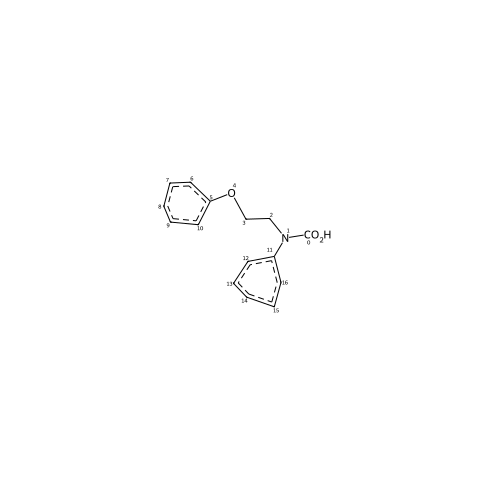 O=C(O)N(CCOc1ccccc1)c1ccccc1